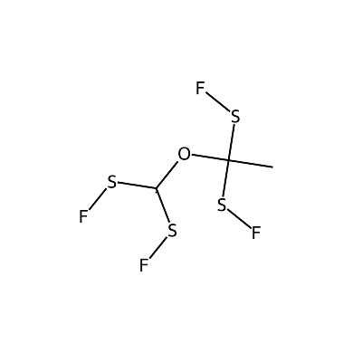 CC(O[C](SF)SF)(SF)SF